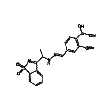 COc1cc(/C=N/NC(C)C2=NS(=O)(=O)c3ccccc32)ccc1B(O)O